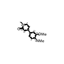 CNc1ccc(-c2ccn(C)c(=O)c2)cc1OC